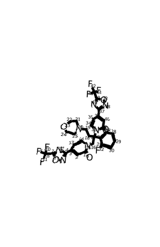 O=c1cc(-c2noc(C(F)(F)F)n2)ccn1CC(CCN1CCOCC1)(c1ccccc1F)n1ccc(-c2noc(C(F)(F)F)n2)cc1=O